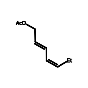 CC/C=C\C=C\COC(C)=O